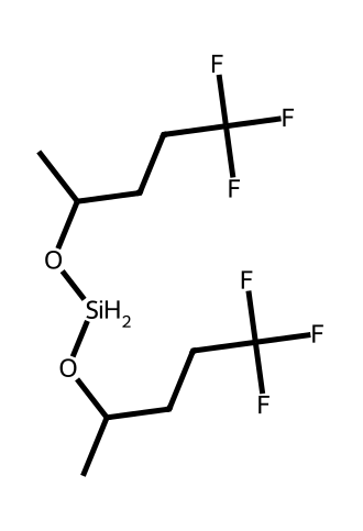 CC(CCC(F)(F)F)O[SiH2]OC(C)CCC(F)(F)F